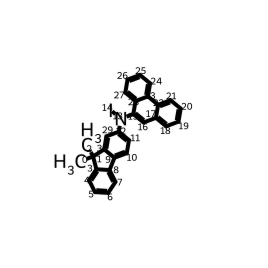 CC1(C)c2ccccc2-c2ccc(N(I)c3cc4ccccc4c4ccccc34)cc21